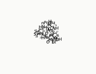 CCC[C@H](NC(=O)[C@H](CC(C)(C)C)NC(=O)c1cc[n+](O)cc1)C(=O)N[C@H](CN[C@@H](C)C(=O)N[C@H](C(=O)NCC)C(C)C)Cc1ccsc1